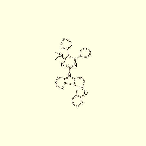 C[Si]1(C)c2ccccc2-c2c(-c3ccccc3)nc(-n3c4ccccc4c4c5c(ccc43)oc3ccccc35)nc21